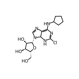 OC[C@H]1O[C@@H](N2C=NC3=C(NC4CCCC4)N=C(Cl)NC32)[C@H](O)[C@@H]1O